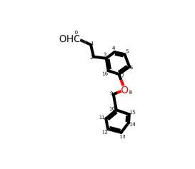 O=CCCc1cccc(OCc2ccccc2)c1